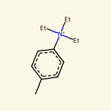 CC[N+](CC)(CC)c1ccc(C)cc1